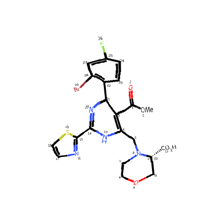 COC(=O)C1=C(CN2CCOC[C@H]2C(=O)O)NC(c2nccs2)=NC1c1ccc(F)cc1Br